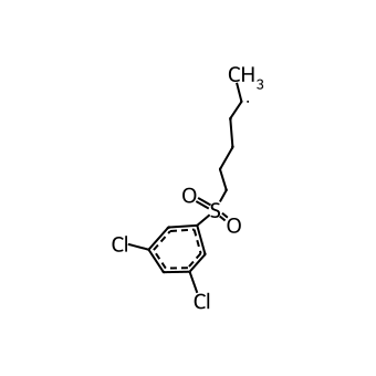 C[CH]CCCCS(=O)(=O)c1cc(Cl)cc(Cl)c1